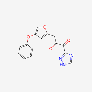 O=C(Cc1cc(Oc2ccccc2)co1)C(=O)c1nc[nH]n1